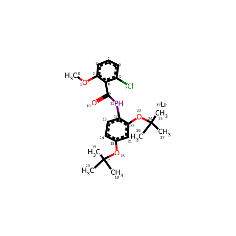 COc1cccc(Cl)c1C(=O)Pc1ccc(OC(C)(C)C)cc1OC(C)(C)C.[Li]